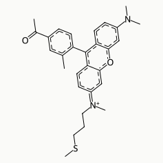 CSCCC/[N+](C)=c1\ccc2c(-c3ccc(C(C)=O)cc3C)c3ccc(N(C)C)cc3oc-2c1